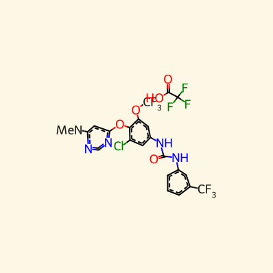 CNc1cc(Oc2c(Cl)cc(NC(=O)Nc3cccc(C(F)(F)F)c3)cc2OC(F)(F)F)ncn1.O=C(O)C(F)(F)F